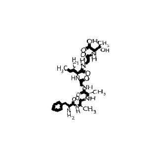 CC[C@H](C)[C@H](NC(=O)CNC(=O)[C@H](C)NC(=O)[C@H](C)NC(=O)[C@@H](N)Cc1ccccc1)C(=O)NCC(=O)N[C@H](C(=O)O)[C@@H](C)O